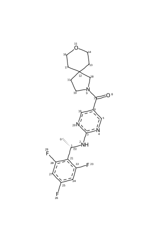 C[C@H](Nc1ncc(C(=O)N2CCC3(CCOCC3)C2)cn1)c1c(F)cc(F)cc1F